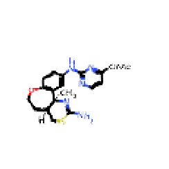 COc1ccnc(Nc2ccc3c(c2)[C@@]2(C)N=C(N)SC[C@H]2CCO3)n1